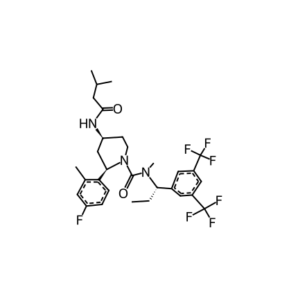 CC[C@@H](c1cc(C(F)(F)F)cc(C(F)(F)F)c1)N(C)C(=O)N1CC[C@H](NC(=O)CC(C)C)C[C@@H]1c1ccc(F)cc1C